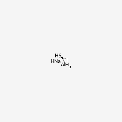 SCl.[AlH3].[NaH]